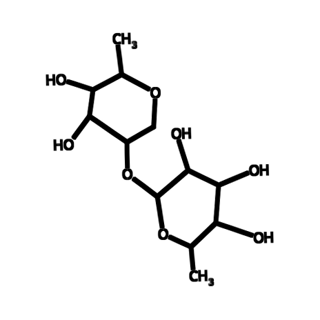 CC1OCC(OC2OC(C)C(O)C(O)C2O)C(O)C1O